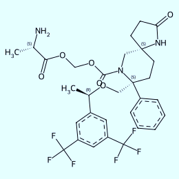 C[C@H](N)C(=O)OCOC(=O)N1C[C@@]2(CCC(=O)N2)CC[C@@]1(CO[C@H](C)c1cc(C(F)(F)F)cc(C(F)(F)F)c1)c1ccccc1